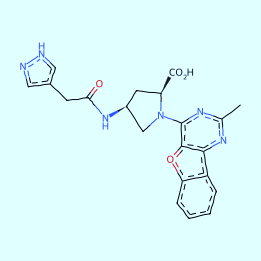 Cc1nc(N2C[C@@H](NC(=O)Cc3cn[nH]c3)C[C@H]2C(=O)O)c2oc3ccccc3c2n1